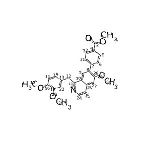 COC(=O)c1ccc(-c2cc3c(Cc4ccc(OC)c(OC)c4)nccc3cc2OC)cc1